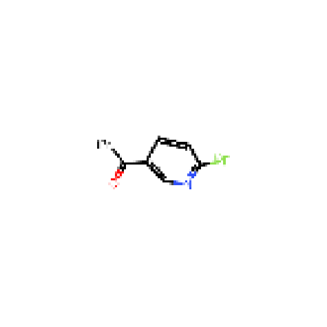 CC(C)C(=O)c1ccc([18F])nc1